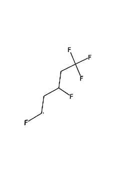 F[CH]CC(F)CC(F)(F)F